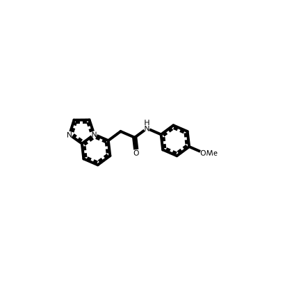 COc1ccc(NC(=O)Cc2cccc3nccn23)cc1